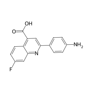 Nc1ccc(-c2cc(C(=O)O)c3ccc(F)cc3n2)cc1